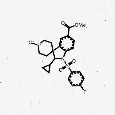 COC(=O)c1ccc2c(c1)C1(CC[S+]([O-])CC1)C(C1CC1)N2S(=O)(=O)c1ccc(F)cc1